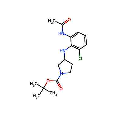 CC(=O)Nc1cccc(Cl)c1NC1CCN(C(=O)OC(C)(C)C)C1